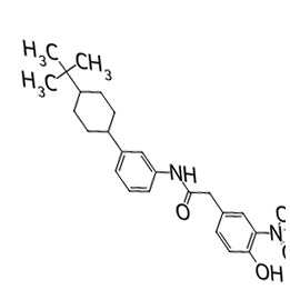 CC(C)(C)C1CCC(c2cccc(NC(=O)Cc3ccc(O)c([N+](=O)[O-])c3)c2)CC1